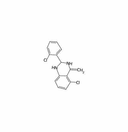 C=C1NC(c2ccccc2Cl)Nc2cccc(Cl)c21